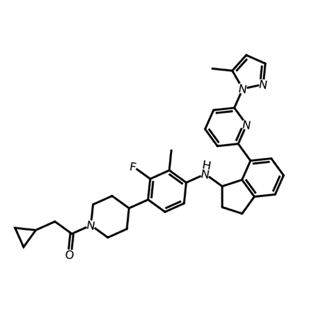 Cc1c(NC2CCc3cccc(-c4cccc(-n5nccc5C)n4)c32)ccc(C2CCN(C(=O)CC3CC3)CC2)c1F